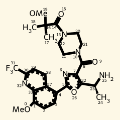 COc1ccc(-c2nc(C(=O)N3CCN(C(=O)C(C)(C)OC)CC3)c([C@H](C)N)o2)c2ccc(C(F)(F)F)nc12